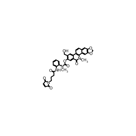 CN(C(=O)Oc1cc2c(=O)n(C)c3c4cc5c(cc4ccc3c2cc1CO)OCO5)c1ccccc1NC(=O)CCCN1C(=O)C=CC1=O